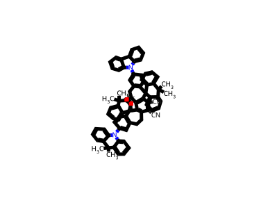 CC1(C)c2ccccc2N(c2ccc3c(c2)CCc2c(C#N)c(C#N)c4c(c2C32c3ccccc3C(C)(C)c3ccccc32)CCc2cc(-n3c5ccccc5c5ccccc53)ccc2C42c3ccccc3C(C)(C)c3ccccc32)c2ccccc21